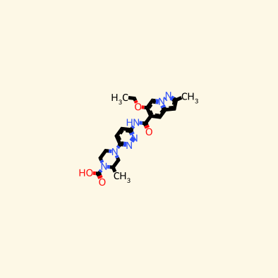 CCOc1cn2nc(C)cc2cc1C(=O)Nc1ccc(N2CCN(C(=O)O)C(C)C2)nn1